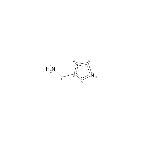 NCc1cncs1